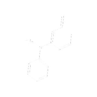 C=C/C=C(\C=C/C)N(N)c1ccccc1